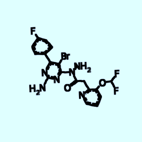 Nc1nc(-c2ccc(F)cc2)c(Br)c(N(N)C(=O)Cc2ncccc2OC(F)F)n1